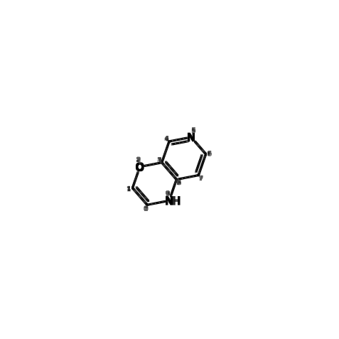 C1=COc2cnccc2N1